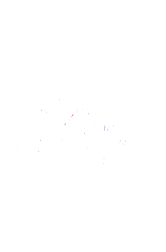 CC(=O)OC[C@H]1O[C@@H](n2cc(Br)c(N)nc2=O)[C@H](OC(C)=O)[C@H]1OS(C)(=O)=O